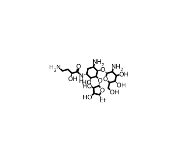 CC[C@H]1O[C@@H](OC2[C@H](O[C@H]3OC(CO)[C@@H](O)C(O)C3N)C(N)C[C@@H](NC(=O)[C@@H](O)CCN)[C@H]2O)C(O)C1O